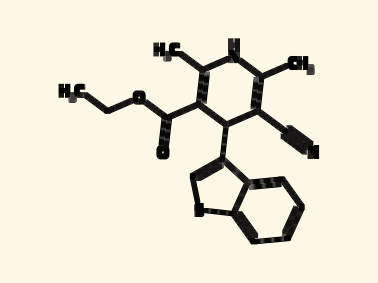 CCOC(=O)C1=C(C)NC(C)=C(C#N)C1c1csc2ccccc12